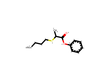 CCCCCCCCCCCCSC(C)C(=O)Oc1ccccc1